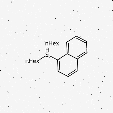 CCCCCC[SiH](CCCCCC)c1cccc2ccccc12